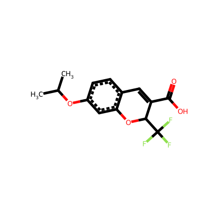 CC(C)Oc1ccc2c(c1)OC(C(F)(F)F)C(C(=O)O)=C2